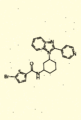 O=C(NC1CCCC(n2c(-c3ccncc3)nc3ccccc32)C1)c1ccc(Br)s1